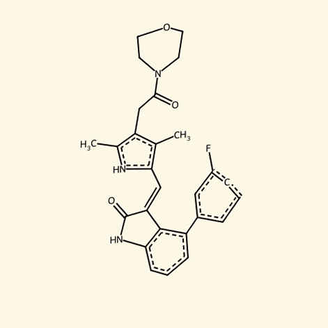 Cc1[nH]c(/C=C2\C(=O)Nc3cccc(-c4cccc(F)c4)c32)c(C)c1CC(=O)N1CCOCC1